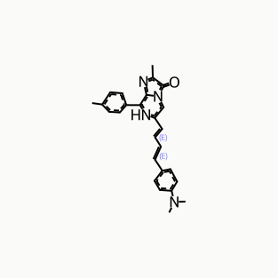 Cc1ccc(-c2[nH]c(/C=C/C=C/c3ccc(N(C)C)cc3)cn3c(=O)c(C)nc2-3)cc1